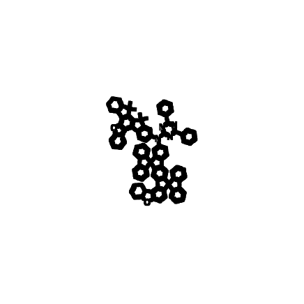 CC1(C)C2=CCCC=C2c2c1c1c(c3c2oc2ccccc23)-c2ccc(N(c3ccc4c(c3)C3(c5ccccc5-c5ccccc53)c3cc5c(cc3-4)C3(c4ccccc4-c4ccccc43)c3ccc4c(c3-5)C3CC=CC=C3O4)c3nc(-c4ccccc4)nc(-c4ccccc4)n3)cc2C1(C)C